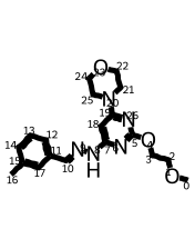 COCCOc1nc(N/N=C/c2cccc(C)c2)cc(N2CCOCC2)n1